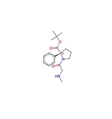 CNCC(=O)N1CCC[C@]1(C(=O)OC(C)(C)C)c1ccccc1